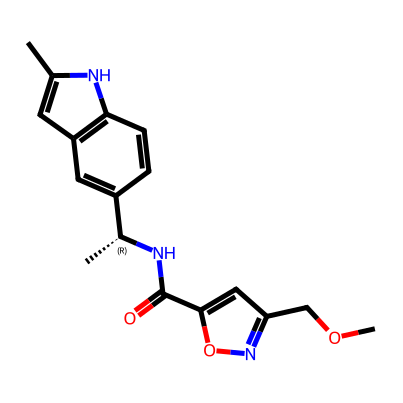 COCc1cc(C(=O)N[C@H](C)c2ccc3[nH]c(C)cc3c2)on1